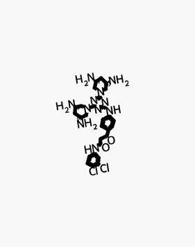 N[C@@H]1C[C@H](N)CN(c2nc(Nc3ccc(C(=O)CC(=O)Nc4ccc(Cl)c(Cl)c4)cc3)nc(N3C[C@H](N)C[C@H](N)C3)n2)C1